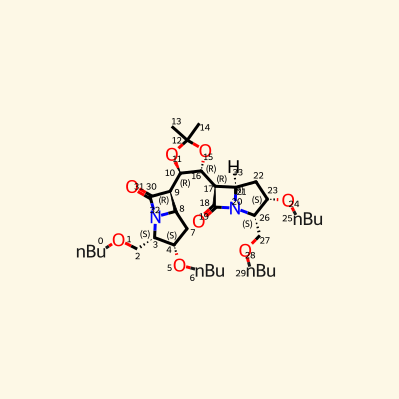 CCCCOC[C@H]1[C@@H](OCCCC)CC2[C@H]([C@H]3OC(C)(C)O[C@@H]3[C@@H]3C(=O)N4[C@@H]3C[C@H](OCCCC)[C@@H]4COCCCC)C(=O)N21